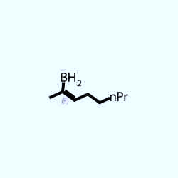 B/C(C)=C\CCCCC